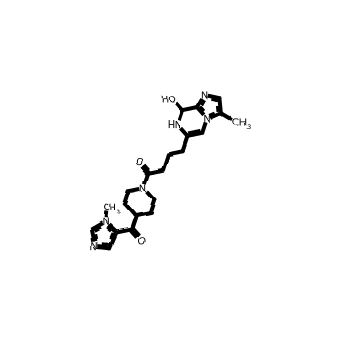 Cc1cnc2n1C=C(CCCC(=O)N1CCC(C(=O)c3cncn3C)CC1)NC2O